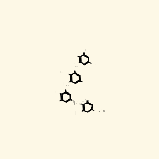 O=C([O-])c1cc(O)c(O)c(O)c1.O=C([O-])c1cc(O)c(O)c(O)c1.O=C([O-])c1cc(O)c(O)c(O)c1.O=C([O-])c1cc(O)c(O)c(O)c1.[C+4]